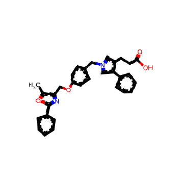 Cc1oc(-c2ccccc2)nc1COc1ccc(Cn2cc(CCC(=O)O)c(-c3ccccc3)c2)cc1